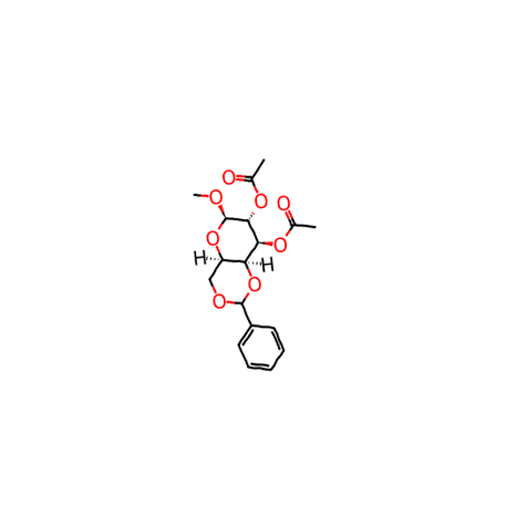 CO[C@@H]1O[C@@H]2COC(c3ccccc3)O[C@@H]2[C@H](OC(C)=O)[C@H]1OC(C)=O